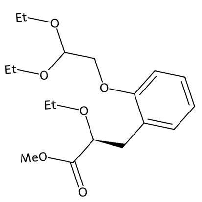 CCOC(COc1ccccc1C[C@H](OCC)C(=O)OC)OCC